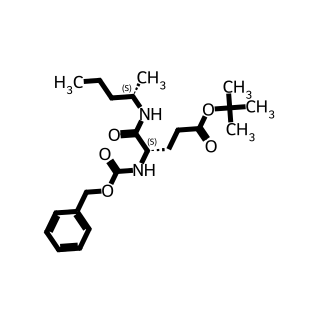 CCC[C@H](C)NC(=O)[C@H](CCC(=O)OC(C)(C)C)NC(=O)OCc1ccccc1